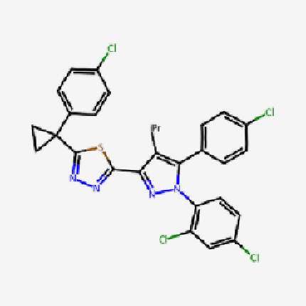 CC(C)c1c(-c2nnc(C3(c4ccc(Cl)cc4)CC3)s2)nn(-c2ccc(Cl)cc2Cl)c1-c1ccc(Cl)cc1